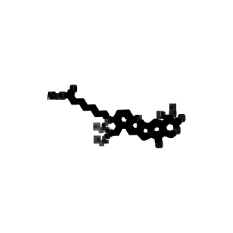 CC[C@@]1(O)C(=O)OCc2c1cc1n(c2=O)Cc2cc3c(CN(C)C)c(OCCCCCCC(=O)OC)ccc3nc2-1